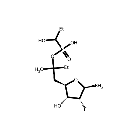 B[C@@H]1O[C@H](CC(C)(CC)OP(=O)(O)C(O)CC)[C@@H](O)[C@H]1F